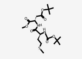 COC(=O)[C@H](CC(=O)OC(C)(C)C)NC(=O)[C@H](CCSC)NC(=O)OC(C)(C)C